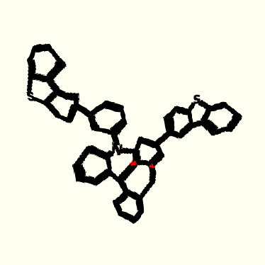 c1cc(-c2ccc3sc4ccccc4c3c2)cc(N(c2cccc(-c3ccc4sc5ccccc5c4c3)c2)c2ccccc2-c2cccc3ccccc23)c1